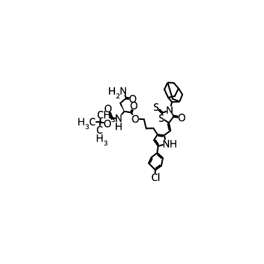 CC(C)(C)OC(=O)N[C@@H](CC(N)=O)C(=O)OCCCc1cc(-c2ccc(Cl)cc2)[nH]c1/C=C1\SC(=S)N(C2C3CC4CC(C3)CC2C4)C1=O